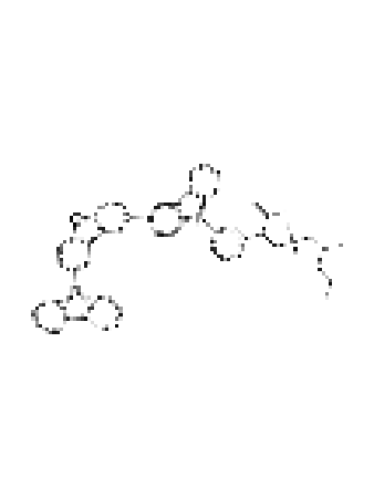 C=C(C)C(CC(C)(C)CC(C)CCC)c1cccc(-n2c3ccccc3c3cc(-c4ccc5oc6ccc(-n7c8ccccc8c8ccccc87)cc6c5c4)ccc32)c1